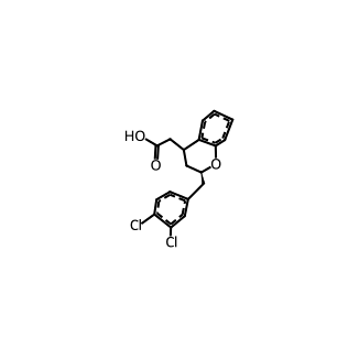 O=C(O)CC1C[C@H](Cc2ccc(Cl)c(Cl)c2)Oc2ccccc21